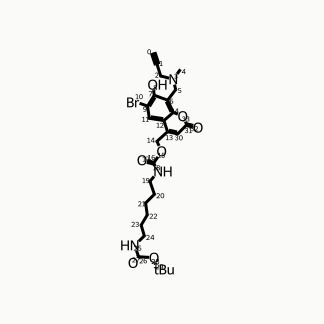 C#CCN(C)Cc1c(O)c(Br)cc2c(COC(=O)NCCCCCCNC(=O)OC(C)(C)C)cc(=O)oc12